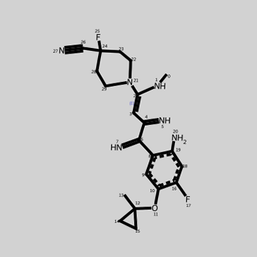 CN/C(=C\C(=N)C(=N)c1cc(OC2(C)CC2)c(F)cc1N)N1CCC(F)(C#N)CC1